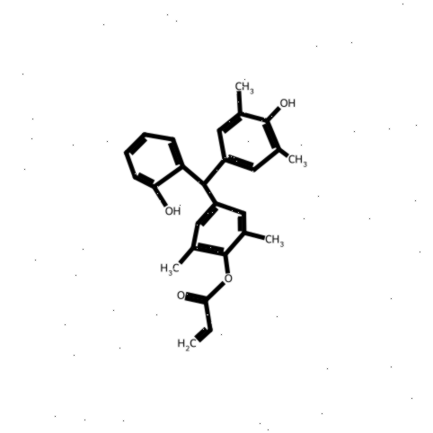 C=CC(=O)Oc1c(C)cc(C(c2cc(C)c(O)c(C)c2)c2ccccc2O)cc1C